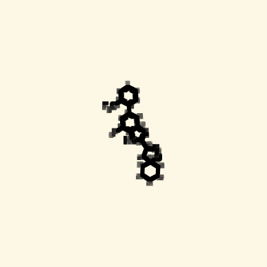 Fc1cc(-c2ccccc2C(F)(F)F)cc2nc(C3=NOC4(CCCCC4)C3)[nH]c12